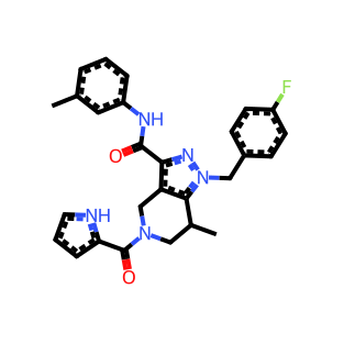 Cc1cccc(NC(=O)c2nn(Cc3ccc(F)cc3)c3c2CN(C(=O)c2ccc[nH]2)CC3C)c1